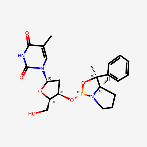 Cc1cn([C@H]2C[C@@H](O[P@]3O[C@@](C)(c4ccccc4)[C@H]4CCCN43)[C@@H](CO)O2)c(=O)[nH]c1=O